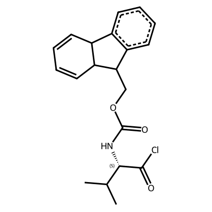 CC(C)[C@H](NC(=O)OCC1c2ccccc2C2C=CC=CC21)C(=O)Cl